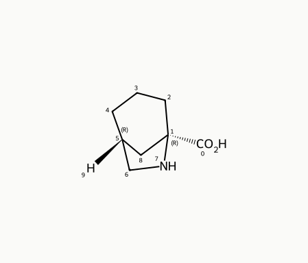 O=C(O)[C@]12CCC[C@@H](CN1)C2